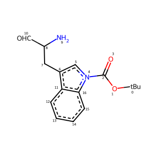 CC(C)(C)OC(=O)n1cc(CC(N)C=O)c2ccccc21